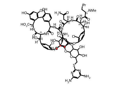 CN[C@@H](CC(C)C)C(=O)N[C@H]1C(=O)N[C@@H](CC(N)=O)C(=O)NC2C(=O)NC3C(=O)N[C@H](C(=O)N[C@@H](C(=O)O)c4cc(O)cc(O)c4-c4cc3ccc4O)[C@H](O)c3ccc(c(Cl)c3)Oc3cc2cc(c3OC2OC(CSc3nc(N)cc(N)n3)C(O)C(O)C2OC2CC(C)(N)C(O)C(C)O2)Oc2ccc(cc2Cl)[C@H]1O